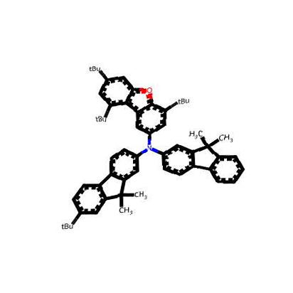 CC(C)(C)c1ccc2c(c1)C(C)(C)c1cc(N(c3ccc4c(c3)C(C)(C)c3ccccc3-4)c3cc(C(C)(C)C)c4oc5cc(C(C)(C)C)cc(C(C)(C)C)c5c4c3)ccc1-2